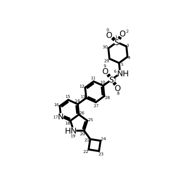 O=S1(=O)CCC(NS(=O)(=O)c2ccc(-c3ccnc4[nH]c(C5CCC5)cc34)cc2)CC1